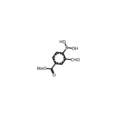 COC(=O)c1ccc(B(O)O)c(C=O)c1